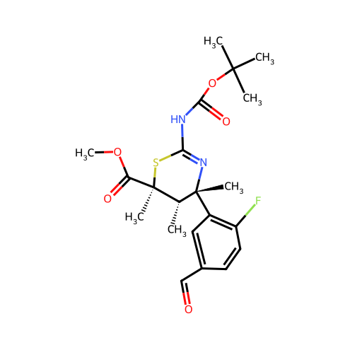 COC(=O)[C@@]1(C)SC(NC(=O)OC(C)(C)C)=N[C@](C)(c2cc(C=O)ccc2F)[C@@H]1C